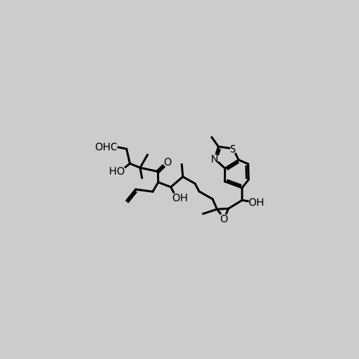 C=CCC(C(=O)C(C)(C)C(O)CC=O)C(O)C(C)CCCC1(C)OC1C(O)c1ccc2sc(C)nc2c1